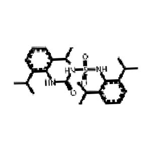 CC(C)c1cccc(C(C)C)c1NC(=O)NS(=O)(=O)Nc1c(C(C)C)cccc1C(C)C